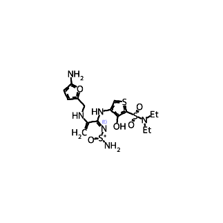 C=C(NCc1ccc(N)o1)/C(=N\[S+](N)[O-])Nc1csc(S(=O)(=O)N(CC)CC)c1O